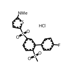 CNc1ccc(S(=O)(=O)c2ccc(S(C)(=O)=O)c(-c3ccc(F)cc3)c2)s1.Cl